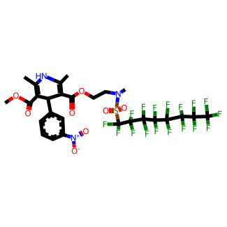 COC(=O)C1=C(C)NC(C)=C(C(=O)OCCN(C)S(=O)(=O)C(F)(F)C(F)(F)C(F)(F)C(F)(F)C(F)(F)C(F)(F)C(F)(F)C(F)(F)F)C1c1cccc([N+](=O)[O-])c1